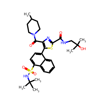 CC1CCN(C(=O)c2nc(C(=O)NCC(C)(C)O)sc2-c2ccc(S(=O)(=O)NC(C)(C)C)c3ccccc23)CC1